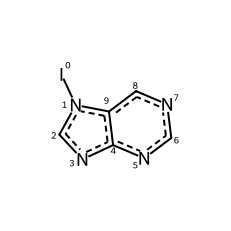 In1cnc2ncncc21